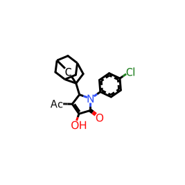 CC(=O)C1=C(O)C(=O)N(c2ccc(Cl)cc2)C1C12CC3CC(CC1C3)C2